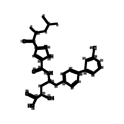 CC(C)CN(C)C(=O)c1cc(C(=O)NN(Cc2ccc(-c3cccc(Cl)c3)cc2)C[C@@H](O)C(=O)O)[nH]n1